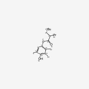 Cc1cc(OC(=O)C(CC(C)(C)C)C(C)C)c(C)c(C)c1O